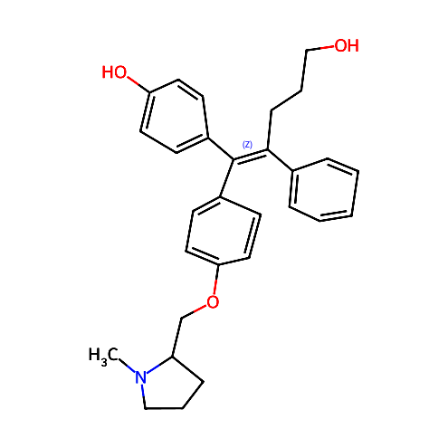 CN1CCCC1COc1ccc(/C(=C(/CCCO)c2ccccc2)c2ccc(O)cc2)cc1